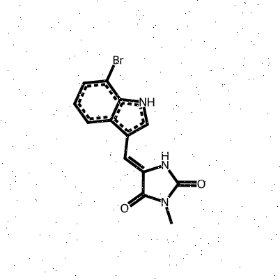 CN1C(=O)NC(=Cc2c[nH]c3c(Br)cccc23)C1=O